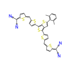 Cc1cccc(C)c1-c1cc2c(-c3ccc(/C=c4/ccc(=C(C#N)C#N)s4)s3)sc(-c3ccc(/C=c4/ccc(=C(C#N)C#N)s4)s3)c2s1